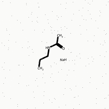 CCCNC(C)=O.[NaH]